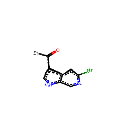 CCC(=O)c1c[nH]c2cnc(Br)cc12